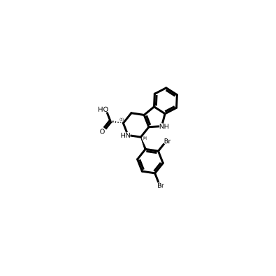 O=C(O)[C@@H]1Cc2c([nH]c3ccccc23)[C@@H](c2ccc(Br)cc2Br)N1